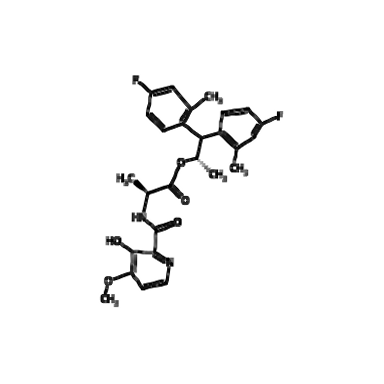 COc1ccnc(C(=O)N[C@@H](C)C(=O)O[C@@H](C)C(c2ccc(F)cc2C)c2ccc(F)cc2C)c1O